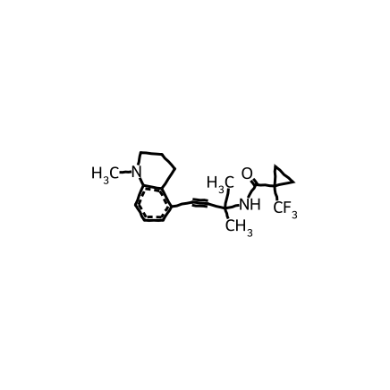 CN1CCCc2c(C#CC(C)(C)NC(=O)C3(C(F)(F)F)CC3)cccc21